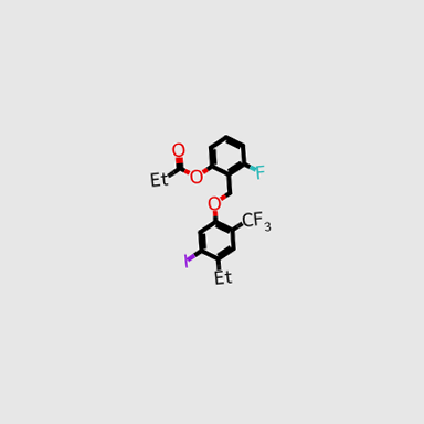 CCC(=O)Oc1cccc(F)c1COc1cc(I)c(CC)cc1C(F)(F)F